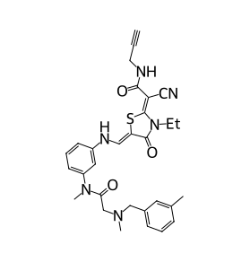 C#CCNC(=O)C(C#N)=c1sc(=CNc2cccc(N(C)C(=O)CN(C)Cc3cccc(C)c3)c2)c(=O)n1CC